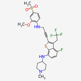 COc1cc(S(C)(=O)=O)ccc1NCC#Cc1sc2c(NC3CCN(C)CC3)ccc(F)c2c1CC(F)(F)F